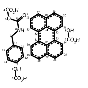 O=C(O)O.O=C(O)O.O=C(O)OC(=O)NCc1ccccc1.c1cc2cccc3c4cccc5cccc(c(c1)c23)c54